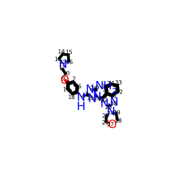 Nc1nc(Nc2ccc(OCCN3CCCC3)cc2)nn1-c1nc(N2CCOCC2)nc2ccccc12